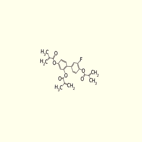 C=C(C)C(=O)Oc1ccc(-c2ccc(OC(=O)C(=C)C)c(F)c2)c(OC(=O)C(=C)C)c1